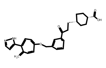 C=C1C=CC(OCc2cccc(C(=O)CC[C@H]3CC[C@@H](C(=O)O)CC3)c2)=CC=C1c1ccn[nH]1